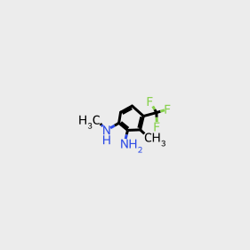 CNc1ccc(C(F)(F)F)c(C)c1N